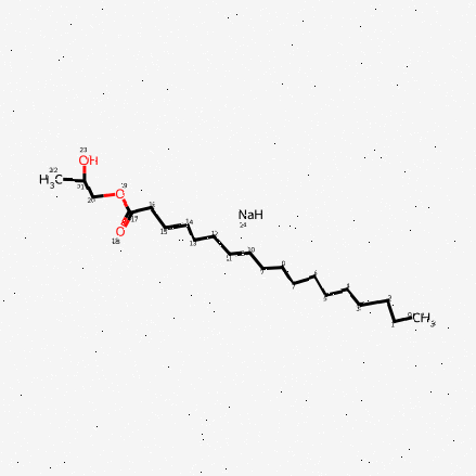 CCCCCCCCCCCCCCCCCC(=O)OCC(C)O.[NaH]